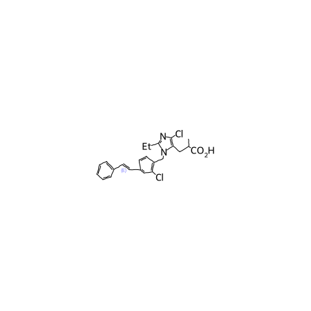 CCc1nc(Cl)c(CC(C)C(=O)O)n1Cc1ccc(/C=C/c2ccccc2)cc1Cl